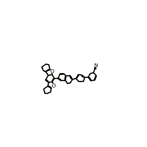 N#CC1C=CC=C(C2=CC=C(C3=Cc4ccc(C5=c6oc7c(c6=CC6C8=C(CCCC8)OC56)CCCC7)cc4CC3)CC2)C1